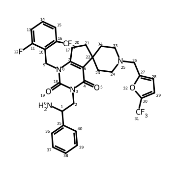 NC(Cn1c(=O)c2c(n(Cc3c(F)cccc3C(F)(F)F)c1=O)CCC21CCN(Cc2ccc(C(F)(F)F)o2)CC1)c1ccccc1